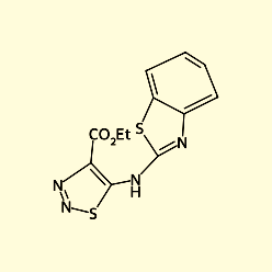 CCOC(=O)c1nnsc1Nc1nc2ccccc2s1